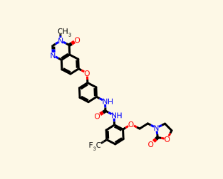 Cn1cnc2ccc(Oc3cccc(NC(=O)Nc4cc(C(F)(F)F)ccc4OCCN4CCOC4=O)c3)cc2c1=O